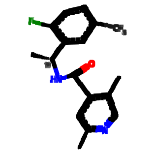 Cc1cc(C(=O)N[C@H](C)c2cc(C(F)(F)F)ccc2F)c(C)cn1